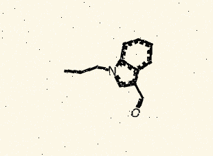 CCCn1cc(C=O)c2ccccc21